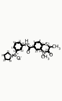 CC1Sc2ccc(C(=O)Nc3cccc([S+]([O-])N4CCCC4)c3)cc2N(C)C1=O